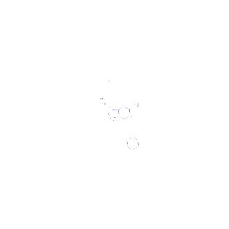 Nc1nc(OCc2ccccc2)c2ncn([C@@H]3CC(CO)[C@H]3CO)c2n1